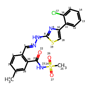 Cc1ccc(/C=N/Nc2nc(-c3ccccc3Cl)cs2)c(C(=O)NS(C)(=O)=O)c1